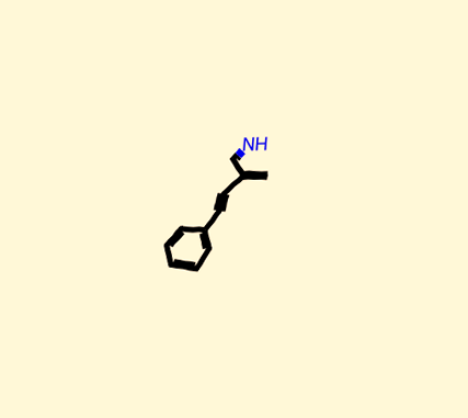 C=C(C#Cc1ccccc1)C=N